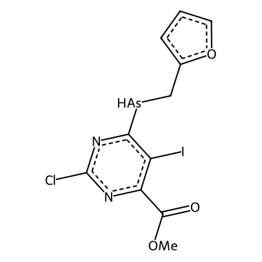 COC(=O)c1nc(Cl)nc([AsH]Cc2ccco2)c1I